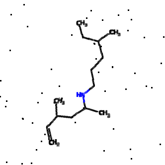 C=CC(C)CC(C)NCCCC(C)CC